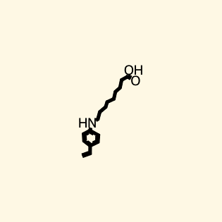 C=Cc1ccc(NCCCCCCCCC(=O)O)cc1